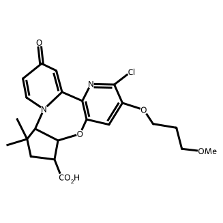 COCCCOc1cc2c(nc1Cl)-c1cc(=O)ccn1C1C(O2)C(C(=O)O)CC1(C)C